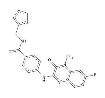 Cn1c(=O)c(Nc2ccc(C(=O)NCc3cccs3)cc2)nc2ccc(F)cc21